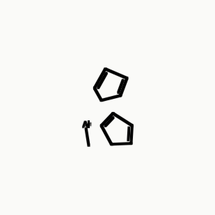 C1=CCC=C1.C1=CCC=C1.[CH3][Al]